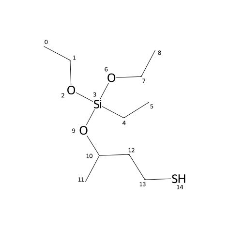 CCO[Si](CC)(OCC)OC(C)CCS